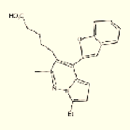 CCc1ccc2c(-c3cc4ccccc4o3)c(CCCCC(=O)O)c(C)nn12